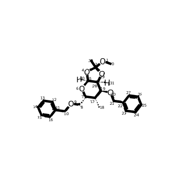 COC1(C)O[C@@H]2O[C@@H](COCc3ccccc3)[C@@H](C)[C@H](OCc3ccccc3)[C@@H]2O1